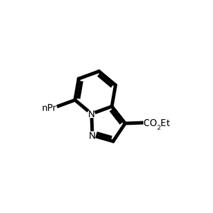 CCCc1cccc2c(C(=O)OCC)cnn12